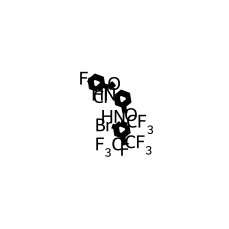 O=C(Nc1c(Br)cc(C(F)(C(F)(F)F)C(F)(F)F)cc1C(F)(F)F)c1cccc(NC(=O)c2ccc(F)cc2Cl)c1